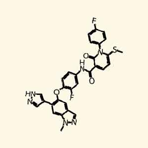 CSc1ccc(C(=O)Nc2ccc(Oc3cc4cnn(C)c4cc3-c3cn[nH]c3)c(F)c2)c(=O)n1-c1ccc(F)cc1